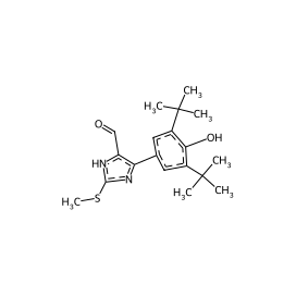 CSc1nc(-c2cc(C(C)(C)C)c(O)c(C(C)(C)C)c2)c(C=O)[nH]1